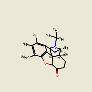 [2H]c1c([2H])c(OC)c2c3c1C[C@@]1([2H])N(C([2H])([2H])[2H])CC[C@@]34C(O2)C(=O)CC[C@]41[2H]